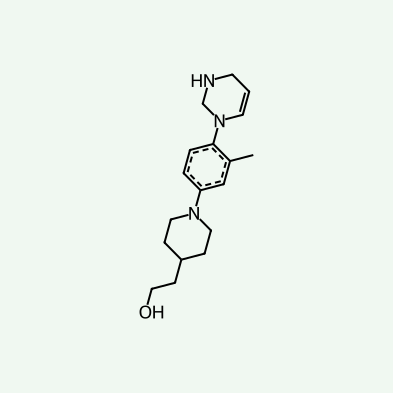 Cc1cc(N2CCC(CCO)CC2)ccc1N1C=CCNC1